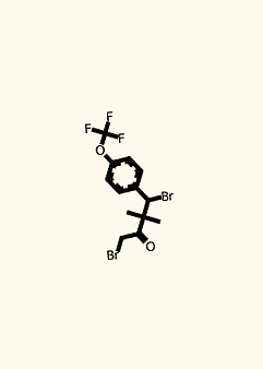 CC(C)(C(=O)CBr)C(Br)c1ccc(OC(F)(F)F)cc1